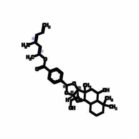 C=C/C=C(N)\C=C(/C)OC(=O)c1ccc([C@@H]2O[C@@H]3CC4C5CCCC(C)(C)C5C(O)CC4(C)[C@]3(C(=O)CO)O2)cc1